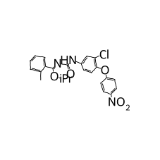 Cc1ccccc1C(=NC(=O)Nc1ccc(Oc2ccc([N+](=O)[O-])cc2)c(Cl)c1)OC(C)C